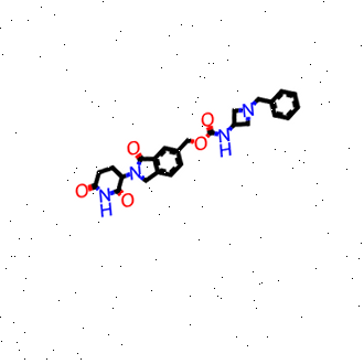 O=C1CCC(N2Cc3ccc(COC(=O)NC4CN(Cc5ccccc5)C4)cc3C2=O)C(=O)N1